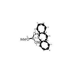 COB(O)OC.c1ccc2nc3ccccc3cc2c1